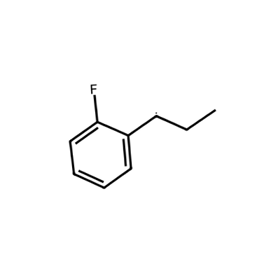 CC[CH]c1ccccc1F